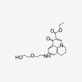 CCOC(=O)c1cn2c3c(cc(NCCOCCO)cc3c1=O)CCC2